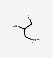 CCCCCCC(C[O])CCCC